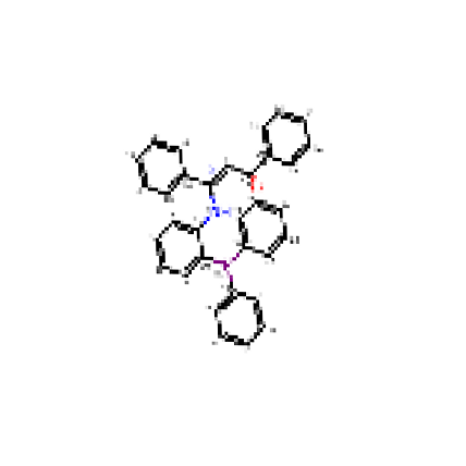 O=C(/C=C(\Nc1ccccc1P(c1ccccc1)c1ccccc1)c1ccccc1)c1ccccc1